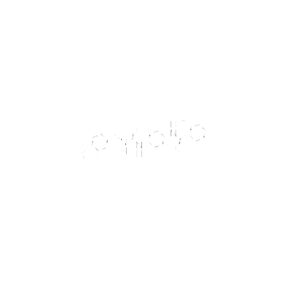 C[S+]([O-])c1ccc(SNC(=O)Nc2ccc(NC(=O)c3c(F)cccc3F)cc2)cc1Cl